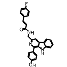 O=C(/C=C/c1ccc(F)cc1)NCc1cc2c([nH]c3ccccc32)c(-c2ccc(O)cc2)n1